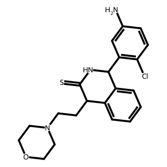 Nc1ccc(Cl)c(C2NC(=S)C(CCN3CCOCC3)c3ccccc32)c1